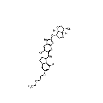 O[C@@H]1CO[C@H]2[C@@H]1OC[C@H]2Oc1nc2nc(NC3CCc4cc(OCCOCC(F)(F)F)cc(F)c43)c(Cl)cc2[nH]1